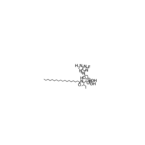 CCCCCCCCCCCCCCCCCC(=O)NC(C(C)CC)C(OP(=O)(O)O)[C@@H]1CC[C@H](n2cnc3c(N)nc(F)nc32)O1